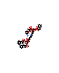 CC(CC1CCCCC1)C(=O)OCC(COC(=O)C(C)CC1CCCCC1)OC(=O)CCCNCCCC(=O)OC(COC(=O)C(C)CC1CCCCC1)COC(=O)C(C)CC1CCCCC1